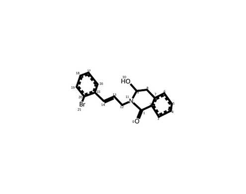 O=C1c2ccccc2CC(O)N1C/C=C/c1ccccc1Br